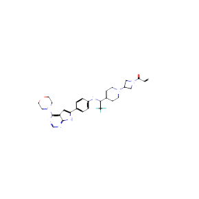 C=CC(=O)N1CC(N2CCC(C(Nc3ccc(-c4cc5c(N6CCOCC6)ncnc5[nH]4)cc3)C(F)(F)F)CC2)C1